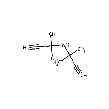 C#CC(C)(C)NC(C)(C)C#C